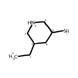 CCC1CNCC(S)C1